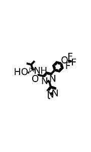 CC(C)[C@@H](CO)NC(=O)c1cc(-c2ccc(OC(F)(F)F)cc2)nc(-c2cnn(C)c2)n1